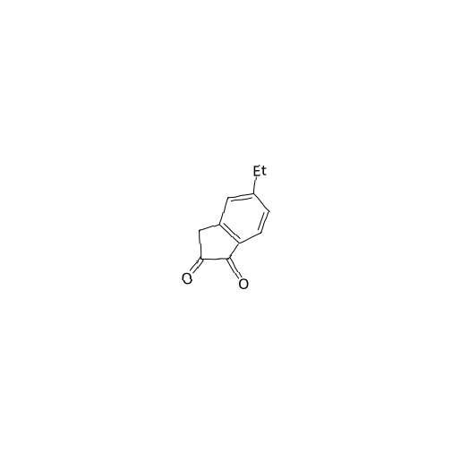 CCc1ccc2c(c1)CC(=O)C2=O